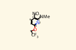 CNc1nc(OCC(F)(F)F)ccc1[N+](=O)[O-]